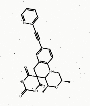 C[C@@H]1CN2c3ccc(C#Cc4ccccn4)cc3CC3(C(=O)NC(=O)NC3=O)C2[C@H](C)O1